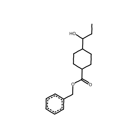 CCC(O)C1CCC(C(=O)OCc2ccccc2)CC1